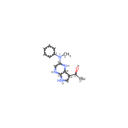 CN(c1ccccc1)c1cnc2[nH]cc(C(=O)C(C)(C)C)c2n1